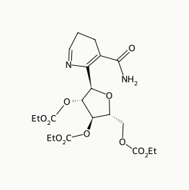 CCOC(=O)OC[C@H]1O[C@H](C2=C(C(N)=O)CCC=N2)[C@@H](OC(=O)OCC)[C@@H]1OC(=O)OCC